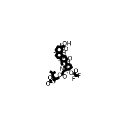 CC(C)c1oc(=O)oc1COC(=O)C1=N[C@@]23CC[C@]4(C)[C@H](C(=O)C=C5[C@@H]6C[C@@](C)(C(=O)O)CC[C@]6(C)CC[C@]54C)[C@@]2(C)CC[C@H](OC(=O)C(F)F)[C@@]13C